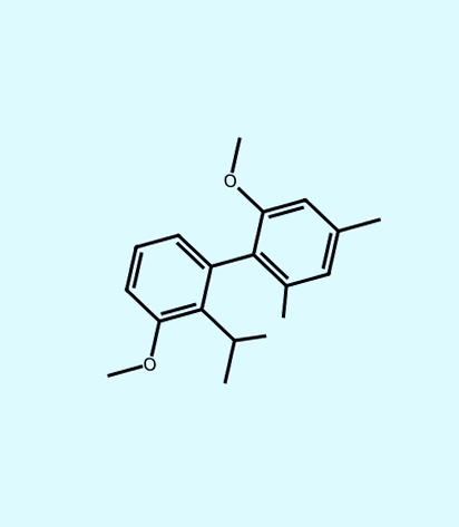 COc1cc(C)cc(C)c1-c1cccc(OC)c1C(C)C